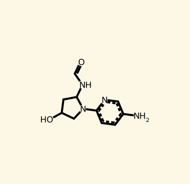 Nc1ccc(N2CC(O)CC2NC=O)nc1